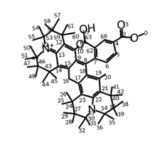 COC(=O)c1ccc(C2=c3c(C)c4c5c(c3Cc3c2c(C)c2c6c3C(C)(C)C(C)(C)C(C)(C)N6C(C)(C)C(C)(C)C2(C)C)C(C)(C)C(C)(C)C(C)(C)[N+]=5C(C)(C)C(C)(C)C4(C)C)c(C(=O)O)c1